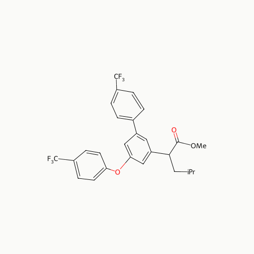 COC(=O)C(CC(C)C)c1cc(Oc2ccc(C(F)(F)F)cc2)cc(-c2ccc(C(F)(F)F)cc2)c1